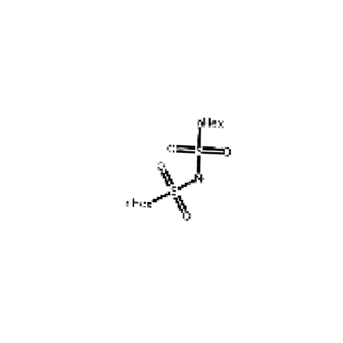 CCCCCCS(=O)(=O)[N]S(=O)(=O)CCCCCC